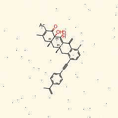 C=C(C)c1ccc(C#Cc2ccc(C)c3c2C[C@]2(C)C[C@]4(C)CC(C)=C(C(C)=O)C(=O)[C@]4(O)C(O)=C2C3=C)cc1